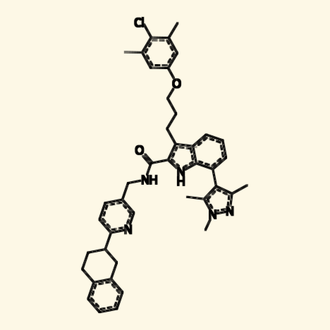 Cc1cc(OCCCc2c(C(=O)NCc3ccc(C4CCc5ccccc5C4)nc3)[nH]c3c(-c4c(C)nn(C)c4C)cccc23)cc(C)c1Cl